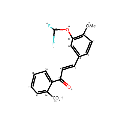 COc1ccc(/C=C/C(=O)c2ccccc2C(=O)O)cc1OC(F)F